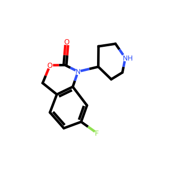 O=C1OCc2ccc(F)cc2N1C1CCNCC1